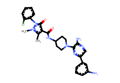 Cc1c(C(=O)NC2CCN(c3nc(-c4cccc(N)c4)cnc3N)CC2)c(=O)n(-c2ccccc2Cl)n1C